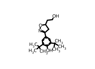 CC(C)(C)c1cc(C2=NOC(CCO)C2)cc(C(C)(C)C)c1O